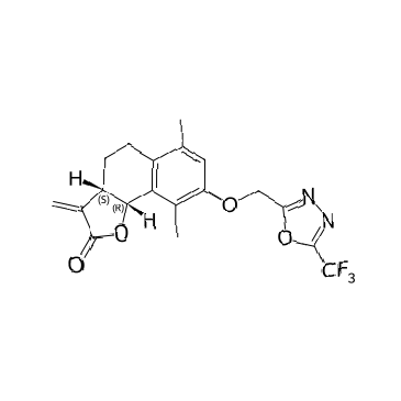 C=C1C(=O)O[C@H]2c3c(C)c(OCc4nnc(C(F)(F)F)o4)cc(C)c3CC[C@@H]12